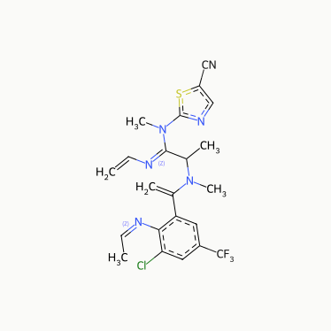 C=C/N=C(/C(C)N(C)C(=C)c1cc(C(F)(F)F)cc(Cl)c1/N=C\C)N(C)c1ncc(C#N)s1